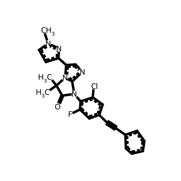 Cn1ccc(-c2cnc3n2C(C)(C)C(=O)N3c2c(F)cc(C#Cc3ccccc3)cc2Cl)n1